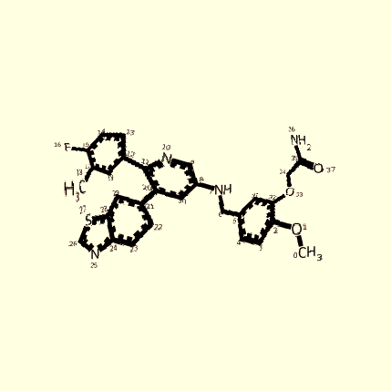 COc1ccc(CNc2cnc(-c3ccc(F)c(C)c3)c(-c3ccc4ncsc4c3)c2)cc1OCC(N)=O